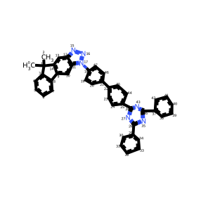 CC1(C)c2ccccc2-c2cc3c(cc21)nnn3-c1ccc(-c2ccc(-c3nc(-c4ccccc4)nc(-c4ccccc4)n3)cc2)cc1